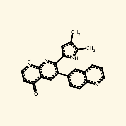 Cc1cc(-c2nc3[nH]ccc(=O)c3cc2-c2ccc3ncccc3c2)[nH]c1C